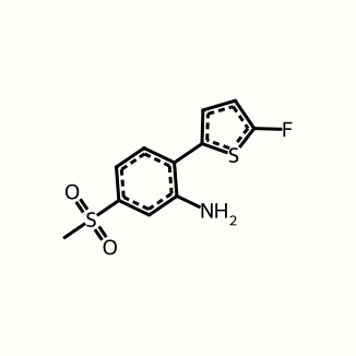 CS(=O)(=O)c1ccc(-c2ccc(F)s2)c(N)c1